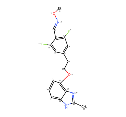 CCON=Cc1c(F)cc(CCOc2cccc3[nH]c(C)nc23)cc1F